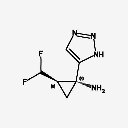 N[C@]1(c2cnn[nH]2)C[C@H]1C(F)F